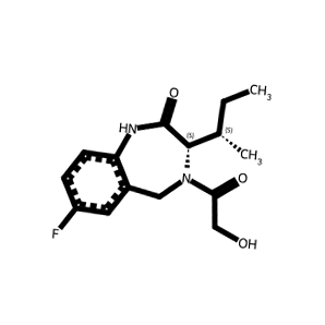 CC[C@H](C)[C@H]1C(=O)Nc2ccc(F)cc2CN1C(=O)CO